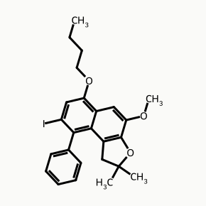 CCCCOc1cc(I)c(-c2ccccc2)c2c3c(c(OC)cc12)OC(C)(C)C3